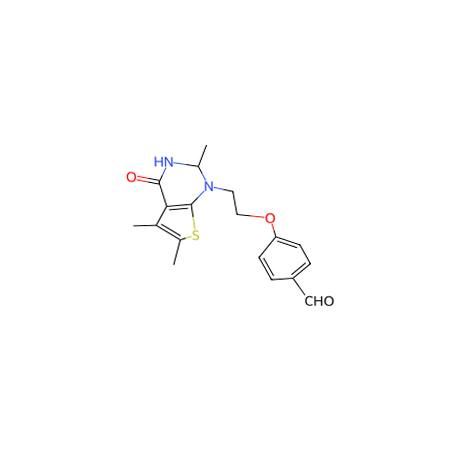 Cc1sc2c(c1C)C(=O)NC(C)N2CCOc1ccc(C=O)cc1